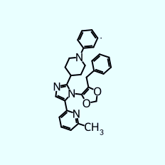 Cc1cccc(-c2cnc(C3CCN(c4c[c]ccc4)CC3)n2C2=C(Cc3ccccc3)OCO2)n1